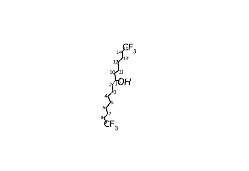 OC(CCCCCCCC(F)(F)F)CCCCCC(F)(F)F